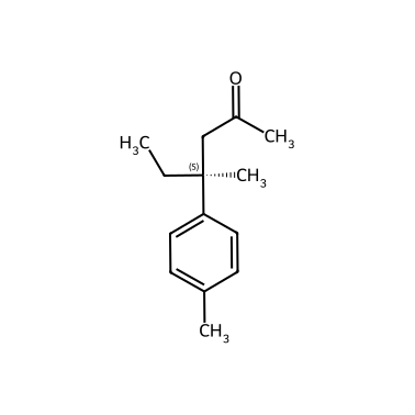 CC[C@@](C)(CC(C)=O)c1ccc(C)cc1